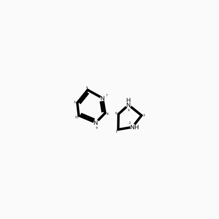 C1CNCN1.c1cncnc1